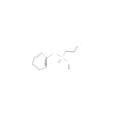 C=CCP(=O)(OC)Oc1ccccc1